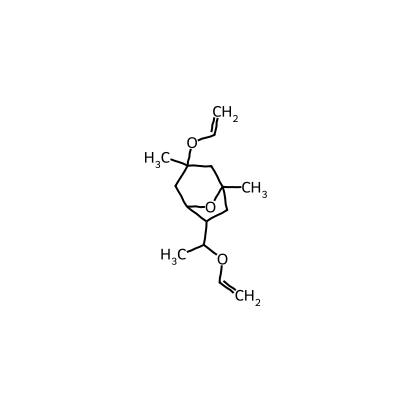 C=COC(C)C1CC2(C)CC(C)(OC=C)CC1O2